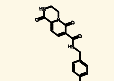 O=C(NCc1ccc(Cl)cc1)c1ccc2n(c1=O)CCNC2=O